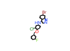 Fc1cccc(COc2ccc(Nc3cnnc4cc(Br)ccc34)cc2Cl)c1